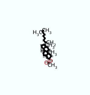 C=C(CCCCC(C)C)[C@H]1CCC2[C@@H]3CC=C4C[C@@H](OC(C)=O)CC[C@]4(C)C3CC[C@@]21C